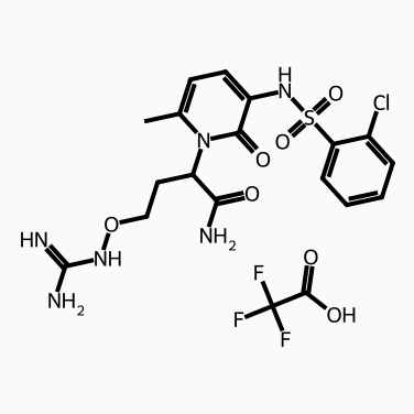 Cc1ccc(NS(=O)(=O)c2ccccc2Cl)c(=O)n1C(CCONC(=N)N)C(N)=O.O=C(O)C(F)(F)F